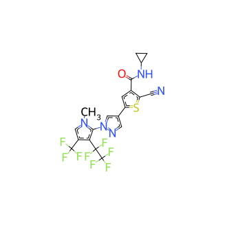 Cn1cc(C(F)(F)F)c(C(F)(F)C(F)(F)F)c1-n1cc(-c2cc(C(=O)NC3CC3)c(C#N)s2)cn1